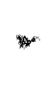 COc1cc(-c2c3c(OCC4CC4)cc(-c4cnn(C)c4)cc3nn2C)cc(OC(F)F)c1C(=O)N1CC(O)(C(F)(F)F)C1